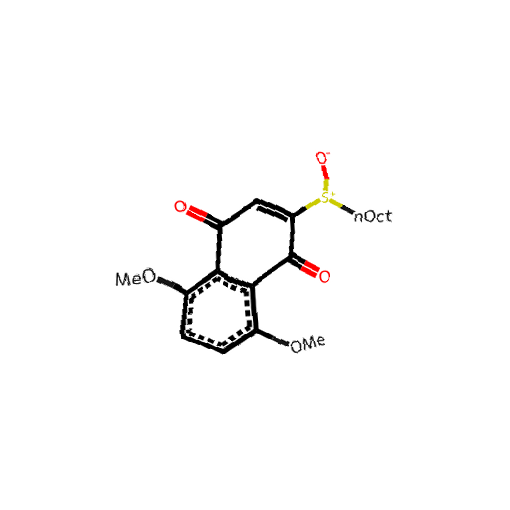 CCCCCCCC[S+]([O-])C1=CC(=O)c2c(OC)ccc(OC)c2C1=O